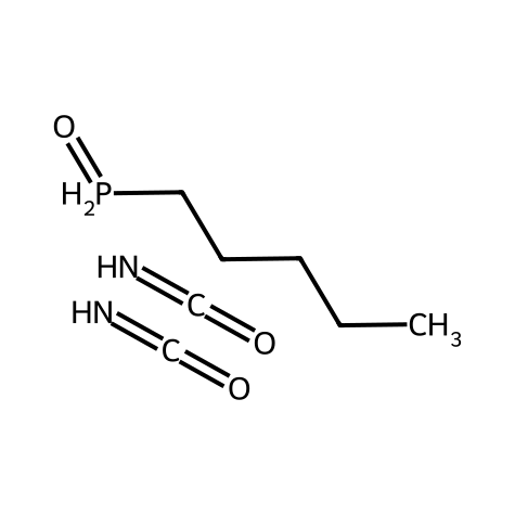 CCCCC[PH2]=O.N=C=O.N=C=O